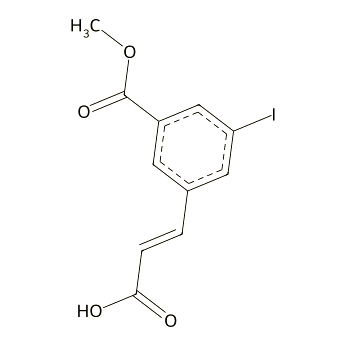 COC(=O)c1cc(I)cc(/C=C/C(=O)O)c1